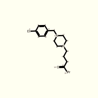 CCc1ccc(CN2CCN(CCCC(=O)C(C)C)CC2)cc1